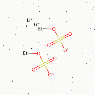 CCOS(=O)(=O)[O-].CCOS(=O)(=O)[O-].[Li+].[Li+]